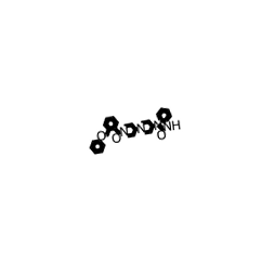 O=C(c1ccccc1COc1ccccc1)N1CCC(N2CCC(n3c(=O)[nH]c4ccccc43)CC2)CC1